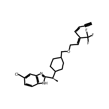 C#C/C=C\C(=C/COCC1CCC([C@@H](C)c2nc3cc(Cl)ccc3[nH]2)CC1)C(F)(F)F